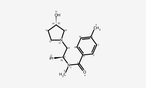 Cc1ccc(C(=O)N(C)[C@H](CN2CC[C@H](O)C2)C(C)C)cc1